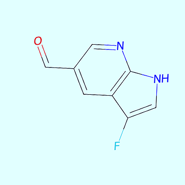 O=Cc1cnc2[nH]cc(F)c2c1